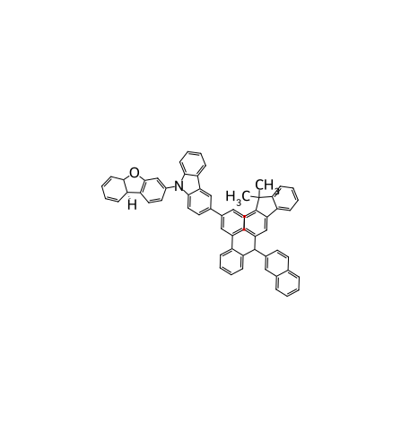 CC1(C)c2ccccc2-c2cc(C(c3ccc4ccccc4c3)c3ccccc3-c3cccc(-c4ccc5c(c4)c4ccccc4n5-c4ccc5c(c4)OC4C=CC=C[C@H]54)c3)ccc21